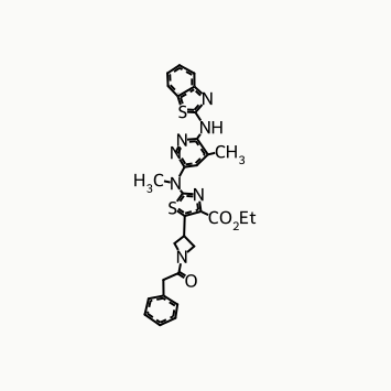 CCOC(=O)c1nc(N(C)c2cc(C)c(Nc3nc4ccccc4s3)nn2)sc1C1CN(C(=O)Cc2ccccc2)C1